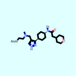 CCN(C(=O)CC1CCOCC1)[C@H]1CC[C@H](c2n[nH]cc2CN(C)CCNC)CC1